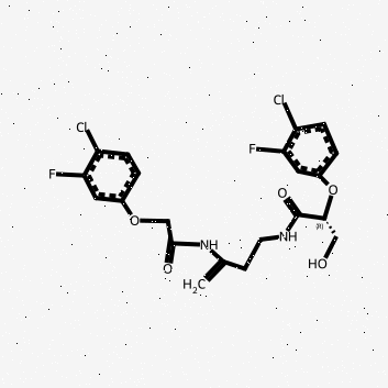 C=C(CCNC(=O)[C@@H](CO)Oc1ccc(Cl)c(F)c1)NC(=O)COc1ccc(Cl)c(F)c1